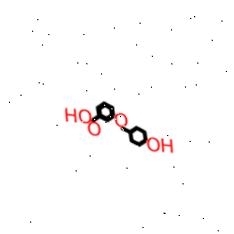 O=C(O)c1cccc(OCC2CCC(O)CC2)c1